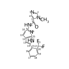 Cn1cncc1C(=O)Nc1ccc2cc(-c3ccccc3C(F)F)[nH]c2n1